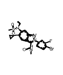 CCN(c1cc2nn(-c3ccc(Br)c(F)c3)c(C(=O)NC)c2cc1C1CC1)S(C)(=O)=O